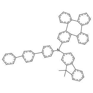 CC1(C)c2ccccc2-c2ccc(N(c3ccc(-c4ccc(-c5ccccc5)cc4)cc3)c3ccc4c(c3)-c3ccccc3-c3ccccc3-c3ccccc3-4)cc21